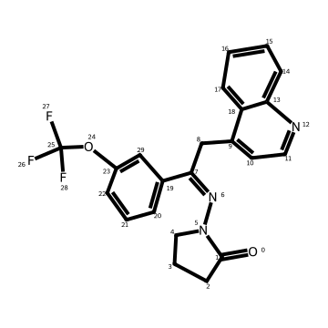 O=C1CCCN1N=C(Cc1ccnc2ccccc12)c1cccc(OC(F)(F)F)c1